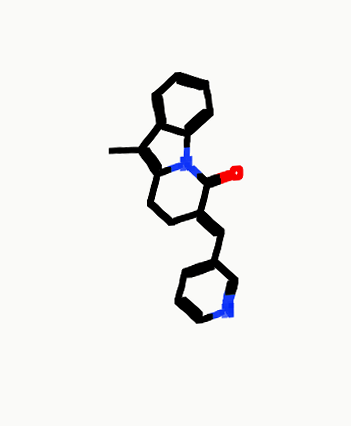 Cc1c2n(c3ccccc13)C(=O)C(=Cc1cccnc1)CC2